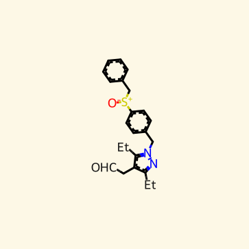 CCc1nn(Cc2ccc([S+]([O-])Cc3ccccc3)cc2)c(CC)c1CC=O